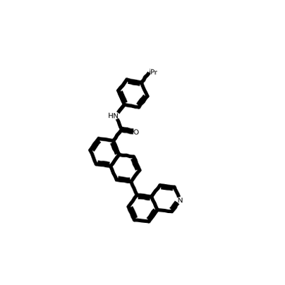 CC(C)c1ccc(NC(=O)c2cccc3cc(-c4cccc5cnccc45)ccc23)cc1